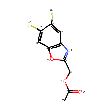 CC(=O)OCc1nc2cc(F)c(S)cc2o1